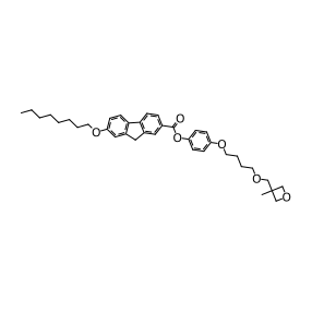 CCCCCCCCOc1ccc2c(c1)Cc1cc(C(=O)Oc3ccc(OCCCCOCC4(C)COC4)cc3)ccc1-2